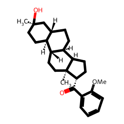 COc1ccccc1C(=O)[C@H]1CC[C@H]2[C@@H]3CC[C@H]4C[C@](C)(O)CC[C@@H]4[C@H]3CC[C@]12C